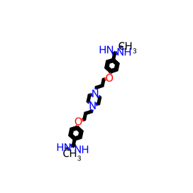 CNC(=N)c1ccc(OCCCN2CCN(CCCOc3ccc(C(=N)NC)cc3)CC2)cc1